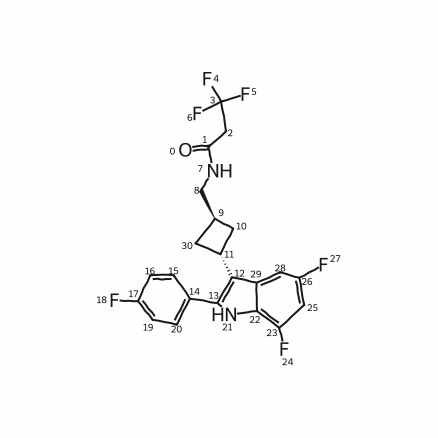 O=C(CC(F)(F)F)NC[C@H]1C[C@H](c2c(-c3ccc(F)cc3)[nH]c3c(F)cc(F)cc32)C1